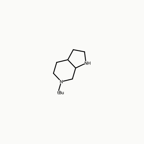 CC(C)(C)N1CCC2CCNC2C1